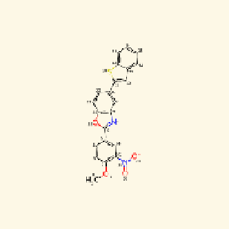 COc1ccc(-c2nc3cc(-c4cc5ccccc5s4)ccc3o2)cc1[N+](=O)[O-]